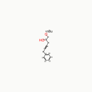 CCCCOCC(O)CC#CCc1ccccc1